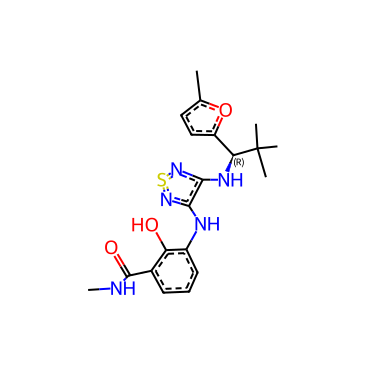 CNC(=O)c1cccc(Nc2nsnc2N[C@@H](c2ccc(C)o2)C(C)(C)C)c1O